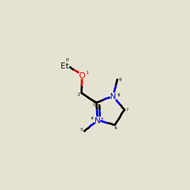 CCOCC1=[N+](C)CCN1C